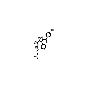 CN(C)CCCNCC1(c2onc(C(=O)c3ccc(O)cc3)c2-c2ccccc2)CC1